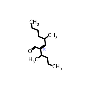 CCCCC(C)/C=C(\C=O)C(C)CCC